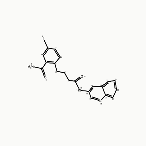 NC(=O)c1cc(F)ccc1CC[CH]C(=O)Nc1cnc2ccccc2c1